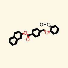 O=Cc1ccccc1OCc1ccc(C(=O)Oc2ccc3ccccc3c2)cc1